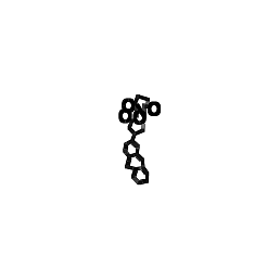 CCC(CC(=O)ON1C(=O)CCC1=O)c1ccc2cc3ccccc3cc2c1